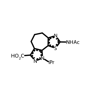 CC(=O)Nc1nc2c(s1)-c1c(c(C(=O)O)nn1C(C)C)CCC2